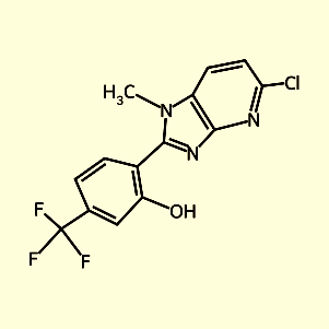 Cn1c(-c2ccc(C(F)(F)F)cc2O)nc2nc(Cl)ccc21